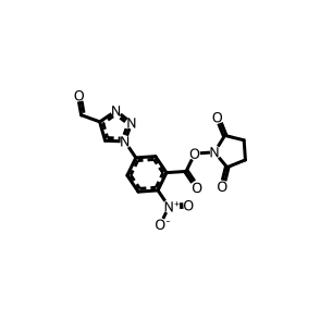 O=Cc1cn(-c2ccc([N+](=O)[O-])c(C(=O)ON3C(=O)CCC3=O)c2)nn1